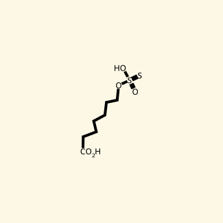 O=C(O)CCCCCCOS(=O)(O)=S